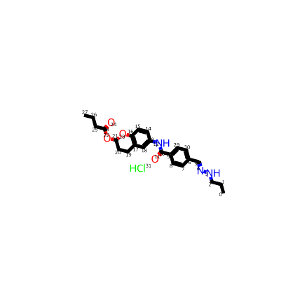 CCCNN=Cc1ccc(C(=O)Nc2ccc3c(c2)CCC(OC(=O)CCC)O3)cc1.Cl